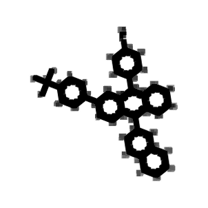 CC(C)(C)c1ccc(-c2ccc3c(-c4ccc5ccccc5c4)c4ccccc4c(-c4ccc(F)cc4)c3c2)cc1